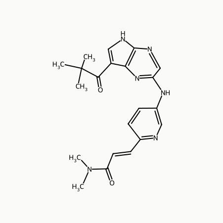 CN(C)C(=O)C=Cc1ccc(Nc2cnc3[nH]cc(C(=O)C(C)(C)C)c3n2)cn1